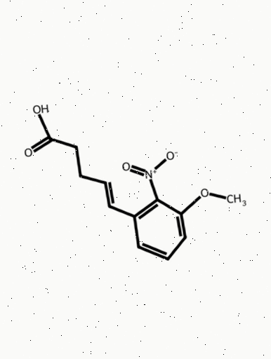 COc1cccc(C=CCCC(=O)O)c1[N+](=O)[O-]